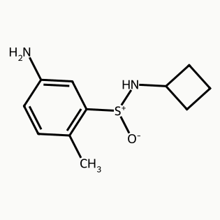 Cc1ccc(N)cc1[S+]([O-])NC1CCC1